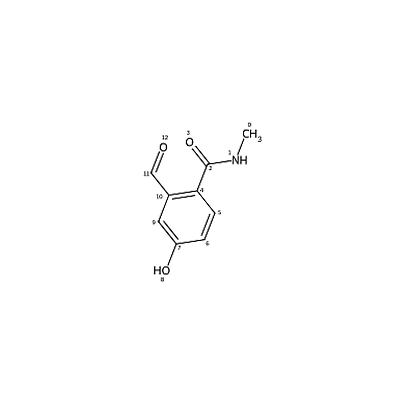 CNC(=O)c1ccc(O)cc1C=O